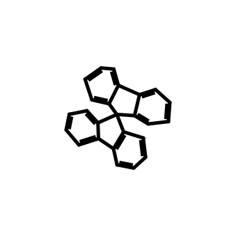 [c]1cccc2c1C1(c3ccccc3-2)c2ccccc2-c2ccccc21